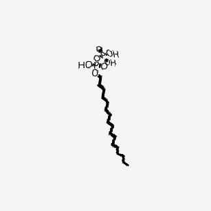 CCCCCCCCCCCCCCCCCOP(=O)(O)OP(=O)(O)O